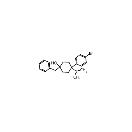 CN(C)C1(c2ccc(Br)cc2)CCC(O)(Cc2ccccc2)CC1